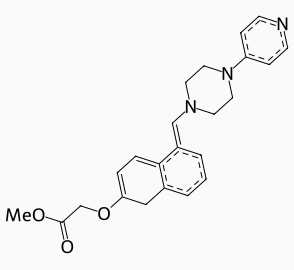 COC(=O)COC1=CC=c2c(cccc2=CN2CCN(c3ccncc3)CC2)C1